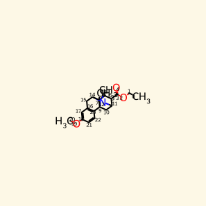 CCOC(=O)C1CC2(C)C3CC1N(C)C2Cc1cc(OC)ccc13